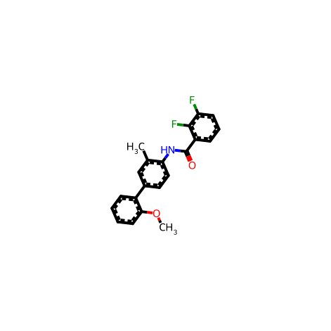 COc1ccccc1-c1ccc(NC(=O)c2cccc(F)c2F)c(C)c1